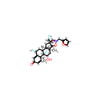 C[C@]12C[C@H](O)[C@@]3(F)[C@@H](C[C@H](F)C4=CC(=O)C=C[C@@]43C)[C@]1(C)C[C@H]1CN(Cc3ccco3)O[C@]12C(=O)CF